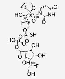 CO[C@@]1(C2CC2)[C@H](n2ccc(=O)[nH]c2=O)O[C@](F)(COP(=O)(S)OP(=O)(O)OC2OC3(O)C2C(O)C(O)C3[C@@H](F)CO)[C@H]1O